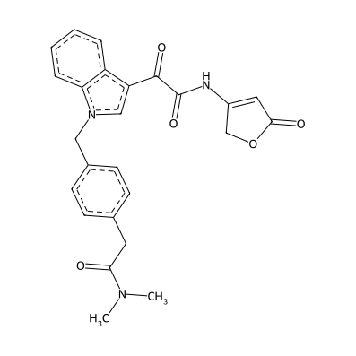 CN(C)C(=O)Cc1ccc(Cn2cc(C(=O)C(=O)NC3=CC(=O)OC3)c3ccccc32)cc1